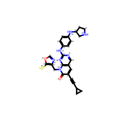 O=c1c(C#CC2CC2)cc2cnc(Nc3ccc(NC4CCNC4)cc3)nc2n1Cc1ncoc1S